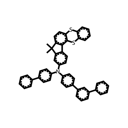 CC1(C)c2cc(N(c3ccc(-c4ccccc4)cc3)c3ccc(-c4cccc(-c5ccccc5)c4)cc3)ccc2-c2c1ccc1c2Sc2ccccc2S1